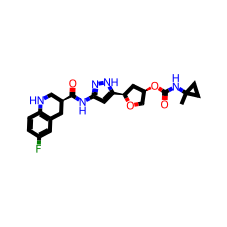 CC1(NC(=O)O[C@H]2CO[C@@H](c3cc(NC(=O)[C@@H]4CNc5ccc(F)cc5C4)n[nH]3)C2)CC1